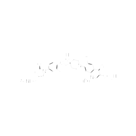 CCC(C)n1cc(C(=O)O)c(=O)c2cc(F)c(N3CCC(O)(COc4ccc(N5C[C@H](CNC(C)=O)OC5=O)cc4F)CC3)cc21